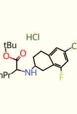 CCCC(N[C@H]1CCc2cc(Cl)cc(F)c2C1)C(=O)OC(C)(C)C.Cl